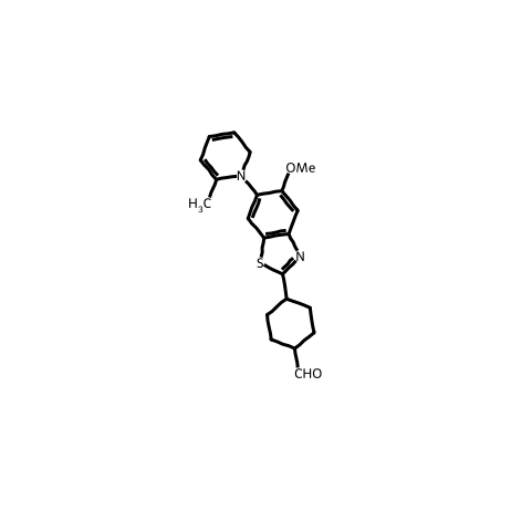 COc1cc2nc(C3CCC(C=O)CC3)sc2cc1N1CC=CC=C1C